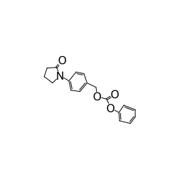 O=C(OCc1ccc(N2CCCC2=O)cc1)Oc1ccccc1